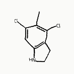 Cc1c(Cl)cc2c(c1Cl)CCN2